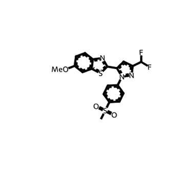 COc1ccc2nc(-c3cc(C(F)F)nn3-c3ccc(S(C)(=O)=O)cc3)sc2c1